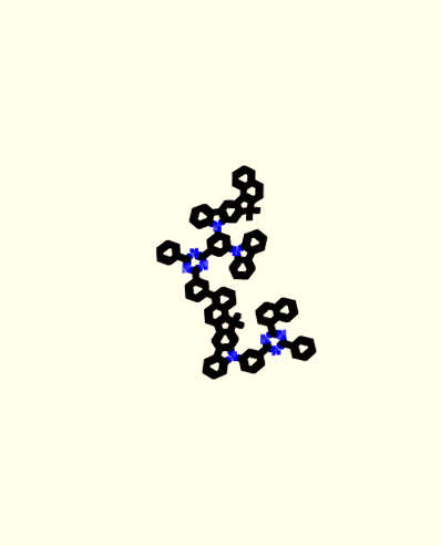 CC1(C)c2cc3c(cc2-c2c1ccc1ccccc21)c1ccccc1n3-c1cc(-c2nc(-c3ccccc3)nc(-c3cccc(-c4cccc5c6c(ccc45)-c4cc5c7ccccc7n(-c7cccc(-c8nc(-c9ccccc9)nc(-c9cccc%10ccccc9%10)n8)c7)c5cc4C6(C)C)c3)n2)cc(-n2c3ccccc3c3ccccc32)c1